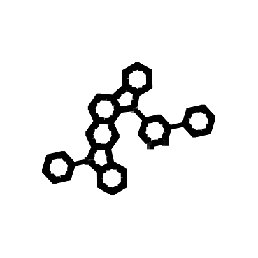 c1ccc(-c2cc(-n3c4ccccc4c4ccc5cc6c(cc5c43)c3ccccc3n6-c3ccccc3)cnn2)cc1